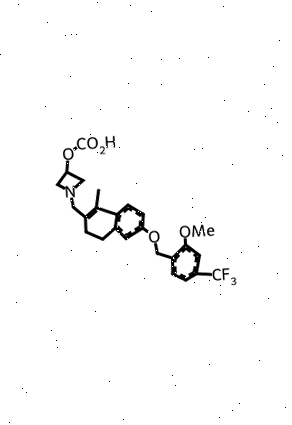 COc1cc(C(F)(F)F)ccc1COc1ccc2c(c1)CCC(CN1CC(OC(=O)O)C1)=C2C